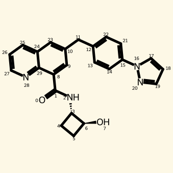 O=C(N[C@H]1CC[C@@H]1O)c1cc(Cc2ccc(-n3cccn3)cc2)cc2cccnc12